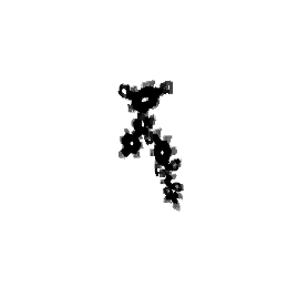 Cc1ccc(-c2cn(-c3cc(Cl)cc(Cl)c3)nc2OCc2ccc(C(=O)NCCC(=O)OC(C)(C)C)cc2)cc1